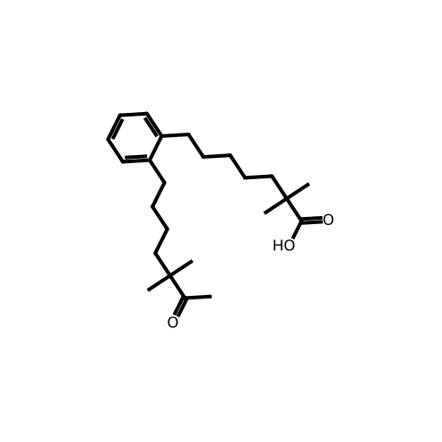 CC(=O)C(C)(C)CCCCc1ccccc1CCCCCC(C)(C)C(=O)O